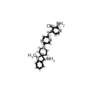 CN1c2ccccc2[C@@H](N)C12CCN(c1cnc(Sc3ccnc(N)c3Cl)cn1)CC2